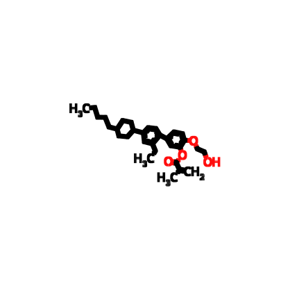 C=C(C)C(=O)Oc1cc(-c2ccc(C3CCC(CCCCC)CC3)cc2CC)ccc1OCCO